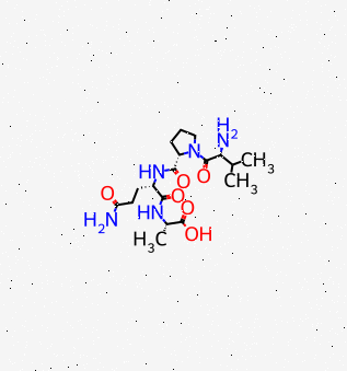 CC(C)[C@H](N)C(=O)N1CCC[C@H]1C(=O)N[C@@H](CCC(N)=O)C(=O)N[C@@H](C)C(=O)O